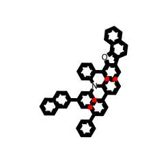 c1ccc(-c2ccc(-c3ccccc3N(c3cccc(-c4ccc5ccccc5c4)c3)c3ccccc3-c3cccc4c3oc3c5ccccc5ccc43)cc2)cc1